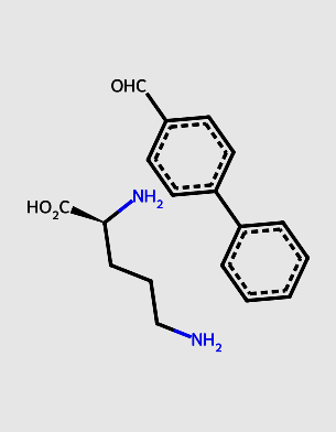 NCCC[C@H](N)C(=O)O.O=Cc1ccc(-c2ccccc2)cc1